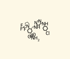 NS(=O)(=O)c1ccc(N2CCC[C@@H]2C(F)(F)F)c(CNc2cc(Nc3ccc(Cl)cc3)ncn2)c1